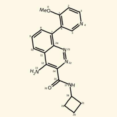 COc1ccncc1-c1cccc2c(N)c(C(=O)NC3CCC3)nnc12